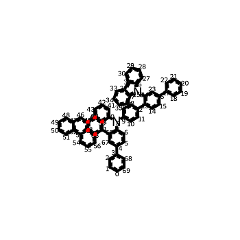 c1ccc(-c2ccc(N(c3ccc(-c4ccc(-c5ccccc5)cc4-n4c5ccccc5c5ccccc54)cc3)c3cccc(-c4cc5ccccc5c5ccccc45)c3)c(-c3ccccc3)c2)cc1